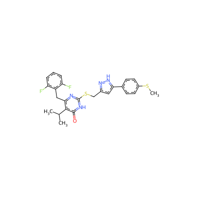 CSc1ccc(-c2cc(CSc3nc(Cc4c(F)cccc4F)c(C(C)C)c(=O)[nH]3)n[nH]2)cc1